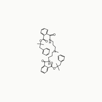 CN(CCCNC(=O)c1ccccc1C(=O)OC(C)(C)Cc1ccccc1)CCCNC(=O)c1ccccc1C(=O)OC(C)(C)Cc1ccccc1